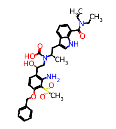 CCN(CC)C(=O)c1cccc2c(C[C@@H](C)N(C[C@H](O)c3ccc(OCc4ccccc4)c(S(C)(=O)=O)c3N)C(=O)O)c[nH]c12